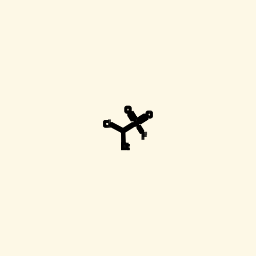 CCC(Cl)S(=O)(=O)F